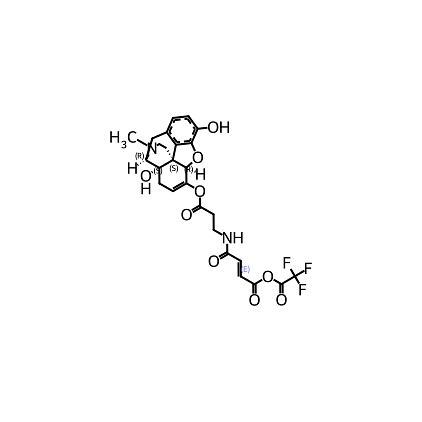 CN1CC[C@]23c4c5ccc(O)c4O[C@H]2C(OC(=O)CCNC(=O)/C=C/C(=O)OC(=O)C(F)(F)F)=CC[C@@]3(O)[C@H]1C5